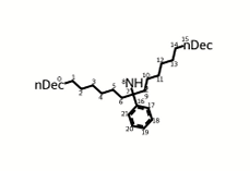 CCCCCCCCCCCCCCCCC(N)(CCCCCCCCCCCCCCCC)c1ccccc1